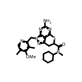 COc1c(C)cnc(Cn2nc3c4c(nc(N)nc42)SC(C(=O)N(C)C2CCCCC2)C3)c1C